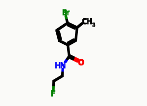 Cc1cc(C(=O)NCCF)ccc1Br